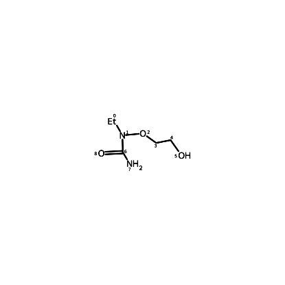 CCN(OCCO)C(N)=O